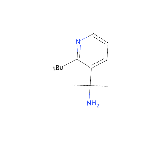 CC(C)(C)c1ncccc1C(C)(C)N